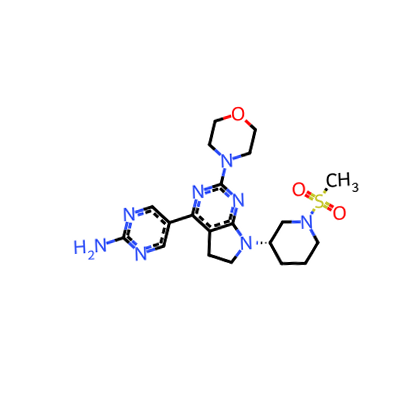 CS(=O)(=O)N1CCC[C@H](N2CCc3c(-c4cnc(N)nc4)nc(N4CCOCC4)nc32)C1